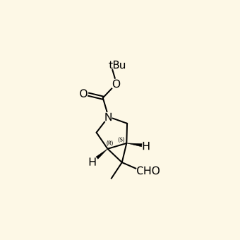 CC(C)(C)OC(=O)N1C[C@@H]2[C@H](C1)C2(C)C=O